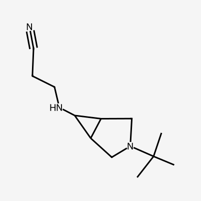 CC(C)(C)N1CC2C(C1)C2NCCC#N